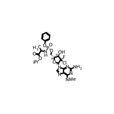 CNc1nc(N)nc2c1ncn2[C@@H]1O[C@H](COP(=O)(NC(C)C(=O)OC(C)C)Oc2ccccc2)[C@@H](O)[C@@]1(F)Cl